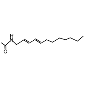 CCCCCCC/C=C/C=C/CNC(C)=O